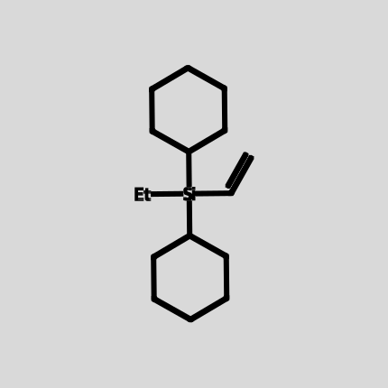 C=C[Si](CC)(C1CCCCC1)C1CCCCC1